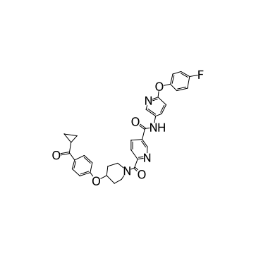 O=C(Nc1ccc(Oc2ccc(F)cc2)nc1)c1ccc(C(=O)N2CCC(Oc3ccc(C(=O)C4CC4)cc3)CC2)nc1